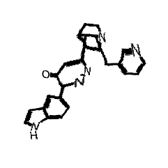 O=C1C=C(C2C3CCN(CC3)C2Cc2cccnc2)N=NC1c1ccc2[nH]ccc2c1